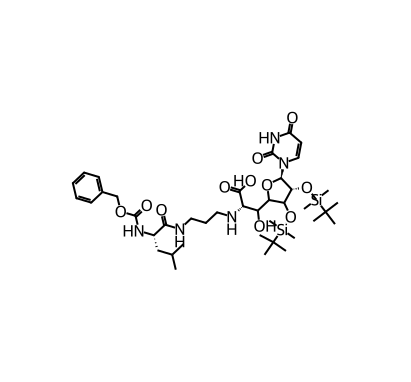 CC(C)C[C@H](NC(=O)OCc1ccccc1)C(=O)NCCCN[C@H](C(=O)O)C(O)C1O[C@@H](n2ccc(=O)[nH]c2=O)[C@H](O[Si](C)(C)C(C)(C)C)C1O[Si](C)(C)C(C)(C)C